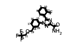 NC(=O)c1nc(-c2ccccc2F)n(-c2cccc(COCC(F)(F)F)c2)n1